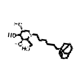 OCC1[C@@H](O)C(O)[C@@H](O)CN1CCCCCCC12CC3CC(CC(C3)C1)C2